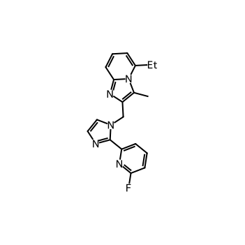 CCc1cccc2nc(Cn3ccnc3-c3cccc(F)n3)c(C)n12